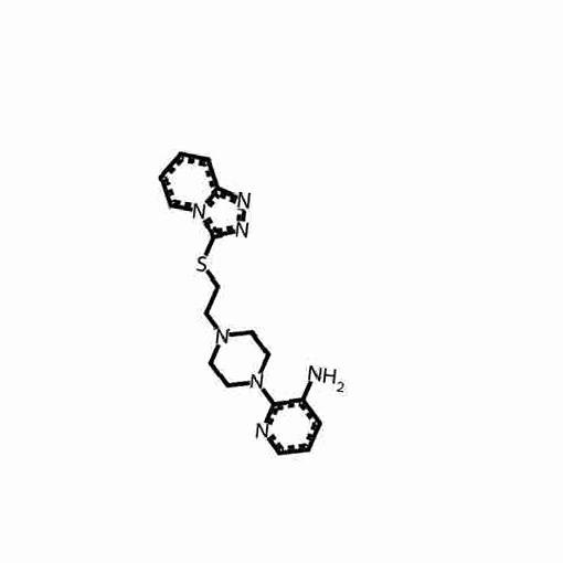 Nc1cccnc1N1CCN(CCSc2nnc3ccccn23)CC1